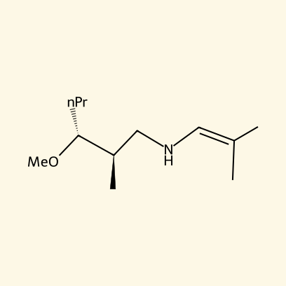 CCC[C@@H](OC)[C@H](C)CNC=C(C)C